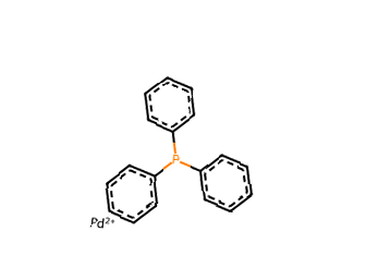 [Pd+2].c1ccc(P(c2ccccc2)c2ccccc2)cc1